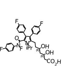 CC(C)n1c(CC[C@@H](O)C[C@@H](O)CC(=O)O)c(-c2ccc(F)cc2)c(-c2ccc(F)cc2)c1C(=O)N(F)c1ccc(F)cc1